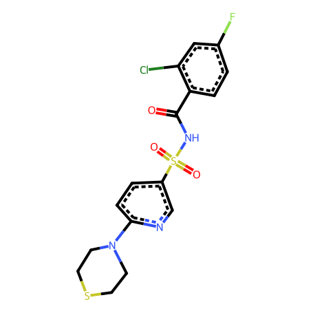 O=C(NS(=O)(=O)c1ccc(N2CCSCC2)nc1)c1ccc(F)cc1Cl